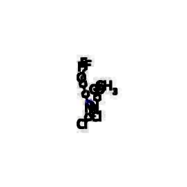 COC(=O)c1ccc(Cn2cc(-c3ccc(Cl)cc3Cl)nc2/C=C/c2ccc(-c3ccc(OCCCC(F)(F)F)cc3)cc2)cc1